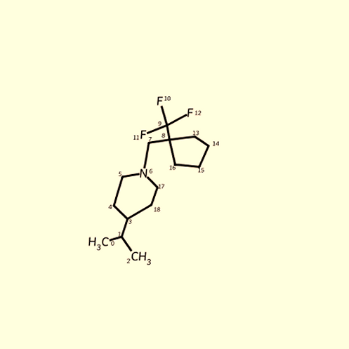 CC(C)C1CCN(CC2(C(F)(F)F)CCCC2)CC1